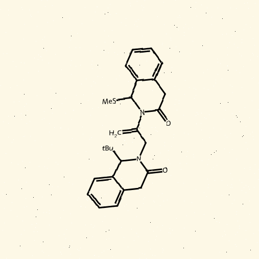 C=C(CN1C(=O)Cc2ccccc2C1C(C)(C)C)N1C(=O)Cc2ccccc2C1SC